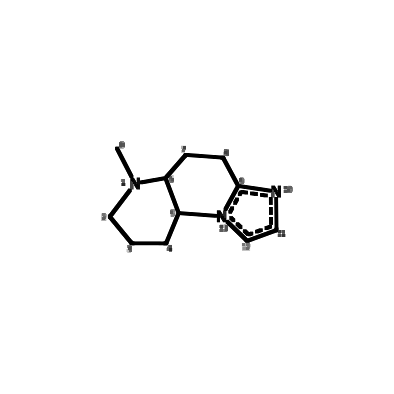 CN1CCCC2C1CCc1nccn12